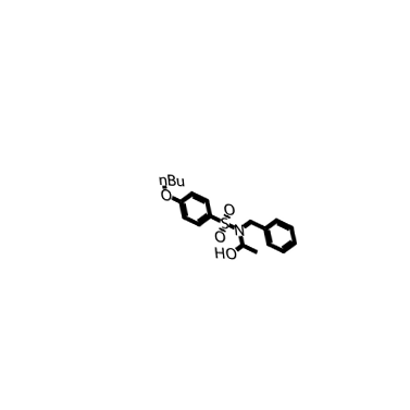 CCCCOc1ccc(S(=O)(=O)N(Cc2ccccc2)C(C)O)cc1